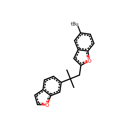 CC(C)(C)c1ccc2oc(CC(C)(C)c3ccc4ccoc4c3)cc2c1